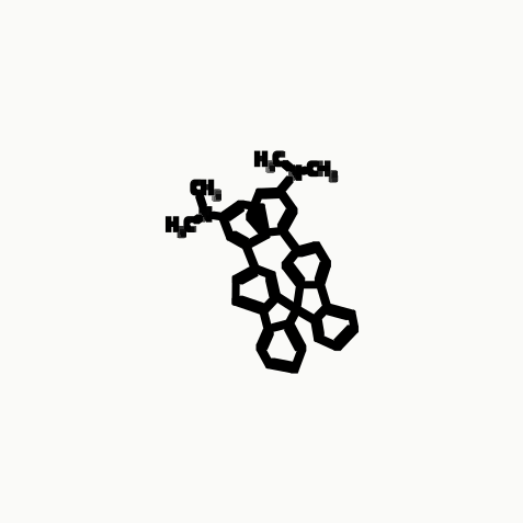 CN(C)c1cccc(-c2ccc3c(c2)C2(c4ccccc4-3)c3ccccc3-c3ccc(-c4cccc(N(C)C)c4)cc32)c1